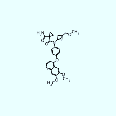 COCC12CC(N(C(=O)C3(C(N)=O)CC3)c3ccc(Oc4ccnc5cc(OC)c(OC)cc45)cc3)(C1)C2